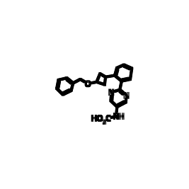 O=C(O)Nc1cnc(-c2ccccc2C2CC(OCc3ccccc3)C2)nc1